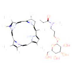 CCC1=C(C)c2cc3[nH]c(cc4nc(c(C)c5cc(C)c(cc1n2)[nH]5)[C@@H](CCC(=O)N(C)CCCO[C@@H]1O[C@H](CO)[C@@H](O)[C@H](O)[C@H]1O)[C@@H]4C)c(C)c3CC